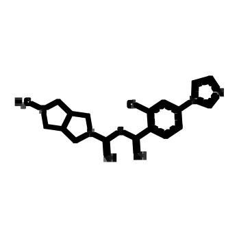 CN1CC2CN(C(=N)SC(=N)c3ccc(-n4ccnc4)cc3Cl)CC2C1